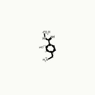 Cl.N=C(NC(=O)O)c1ccc(CN)cc1